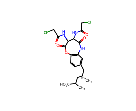 CC(C[C@@H](C)Cc1ccc2c(c1)NC(=O)C(NC(=O)CCl)C(NC(=O)CCl)C(=O)O2)C(=O)O